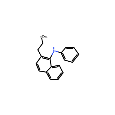 CCCCCCCCCCCCc1ccc2ccccc2c1Nc1ccccc1